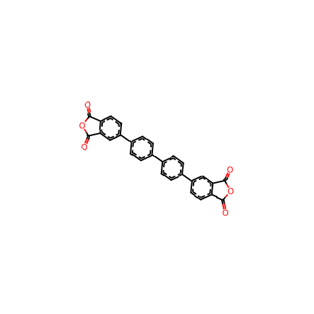 O=C1OC(=O)c2cc(-c3ccc(-c4ccc(-c5ccc6c(c5)C(=O)OC6=O)cc4)cc3)ccc21